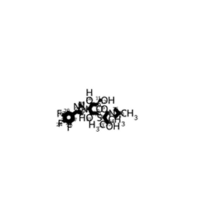 CC1CN(C(=O)[C@@H](S[C@@H]2O[C@H](CO)[C@H](O)[C@H](n3cc(-c4cc(F)c(F)c(F)c4)nn3)[C@H]2O)C(C)(C)O)C1